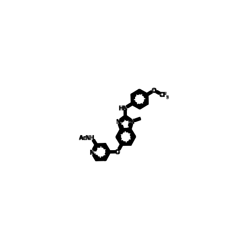 CC(=O)Nc1cc(Oc2ccc3c(c2)nc(Nc2ccc(OC(F)(F)F)cc2)n3C)ccn1